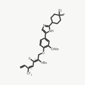 C=C/C(=C\C(F)=C(/CCCC)COc1ccc(-c2cnc(C3CCC(F)(CC)CC3)[nH]2)cc1OC)C(F)(F)F